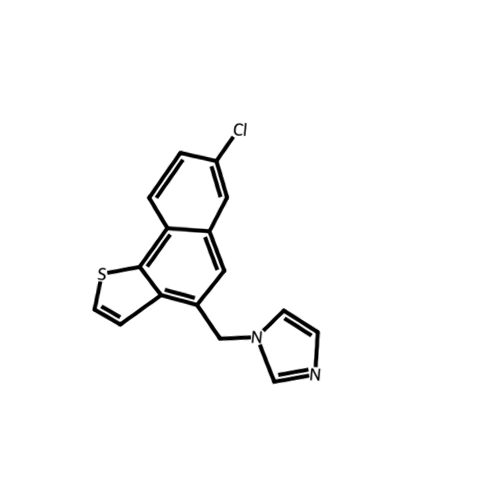 Clc1ccc2c(c1)cc(Cn1ccnc1)c1ccsc12